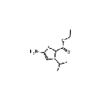 CCOC(=O)C1SC(N)=CC1C(C)C